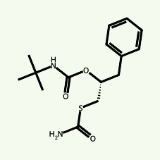 CC(C)(C)NC(=O)O[C@@H](CSC(N)=O)Cc1ccccc1